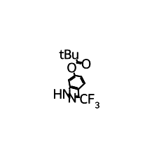 CC(C)(C)C(=O)Oc1ccc2c(C(F)(F)F)n[nH]c2c1